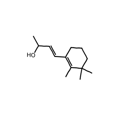 CC1=C(/C=C/C(C)O)CCCC1(C)C